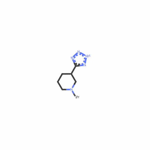 CC(C)N1CCCC(c2nn[nH]n2)C1